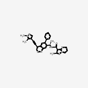 Cc1c(C#Cc2cnnc3cc([C@@H](C)NC(=O)c4c(N)nn5cccnc45)c(-c4ccccc4)cc23)cnn1C